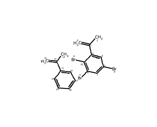 C=C(C)c1cc(Br)cc(Br)c1Br.C=C(C)c1ccccc1